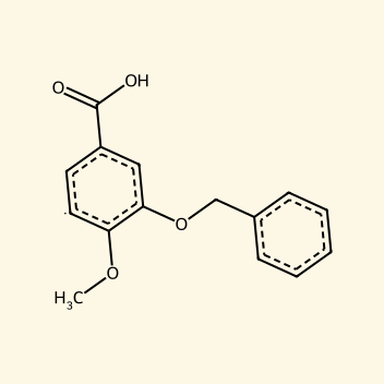 COc1[c]cc(C(=O)O)cc1OCc1ccccc1